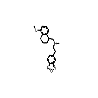 COc1cccc2c1CCCC2CN(C)CCc1ccc2nonc2c1